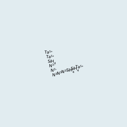 [N-3].[N-3].[N-3].[N-3].[N-3].[SiH4].[SiH4].[SiH4].[Ta+5].[Ta+5].[Ta+5]